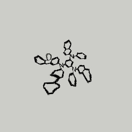 c1ccc(-c2ccc(N(c3cc(N(c4ccccc4)c4ccc5ccccc5c4)cc(N(c4ccccc4)c4ccc5ccccc5c4)c3)c3ccc4oc5ccccc5c4c3)cc2)cc1